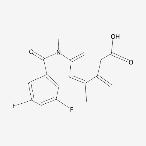 C=C(CC(=O)O)/C(C)=C\C(=C)N(C)C(=O)c1cc(F)cc(F)c1